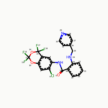 O=C(Nc1cc2c(cc1Cl)OC(F)(F)OC2(F)F)c1ccccc1NCc1ccncc1